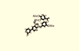 COc1ccc(C(C)Oc2ccc(CN3CN(OC=O)c4cc(-c5ccnc(F)c5)cnc43)cc2OC)cn1